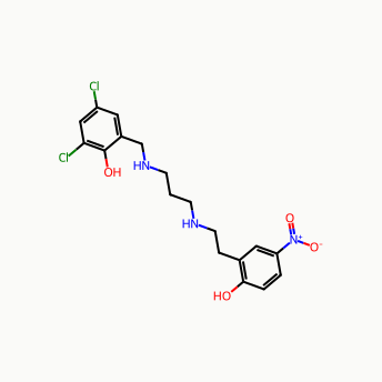 O=[N+]([O-])c1ccc(O)c(CCNCCCNCc2cc(Cl)cc(Cl)c2O)c1